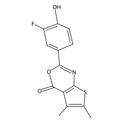 Cc1sc2nc(-c3ccc(O)c(F)c3)oc(=O)c2c1C